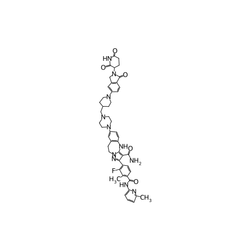 Cc1cccc(NC(=O)c2ccc(-c3nn4c(c3C(N)=O)Nc3ccc(N5CCN(CC6CCN(c7ccc8c(c7)CN(C7CCC(=O)NC7=O)C8=O)CC6)CC5)cc3CC4)c(F)c2C)n1